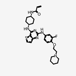 C=CC(=O)N[C@H]1CC[C@@H](Nc2nc(Nc3ccc(OCCN4CCCCC4)c(F)c3)nc3ccsc23)CC1